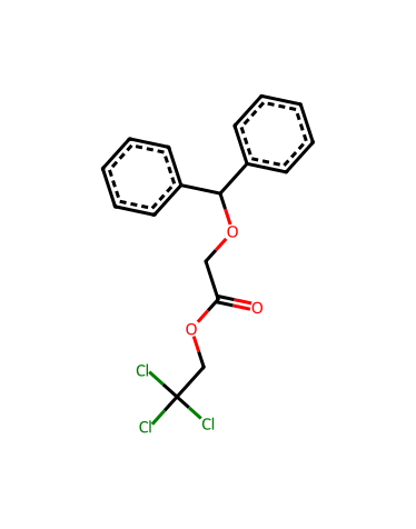 O=C(COC(c1ccccc1)c1ccccc1)OCC(Cl)(Cl)Cl